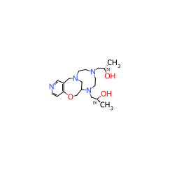 C[C@H](O)CN1CCN2Cc3cnccc3OCC(C2)N(C[C@H](C)O)CC1